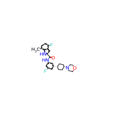 Cc1ccc(F)c2cc(C(=O)Nc3cc(F)cc([C@H]4CC[C@@H](N5CCOCC5)CC4)c3)[nH]c12